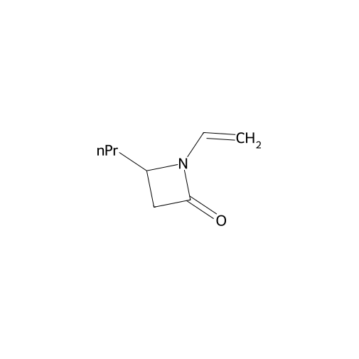 C=CN1C(=O)CC1CCC